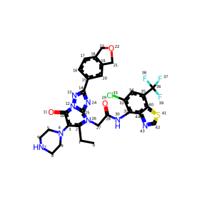 CCc1c(N2CCNCC2)c(=O)n2nc(-c3ccc4c(c3)COC4)nc2n1CC(=O)Nc1c(Cl)cc(C(F)(F)F)c2scnc12